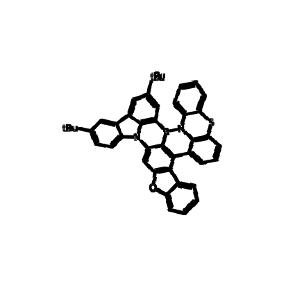 CC(C)(C)c1ccc2c(c1)c1cc(C(C)(C)C)cc3c1n2-c1cc2oc4ccccc4c2c2c1B3N1c3ccccc3Sc3cccc-2c31